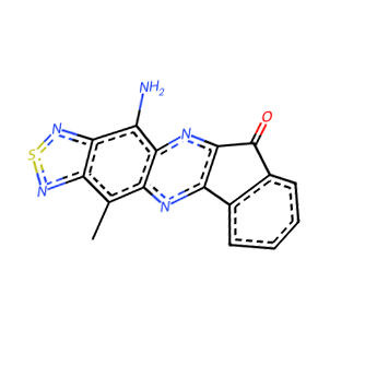 Cc1c2nsnc2c(N)c2nc3c(nc12)-c1ccccc1C3=O